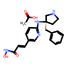 CC(=O)O.O=C(/C=C/c1ccc(N[C@]2(Cc3ccccc3)CCNC2)nc1)NO